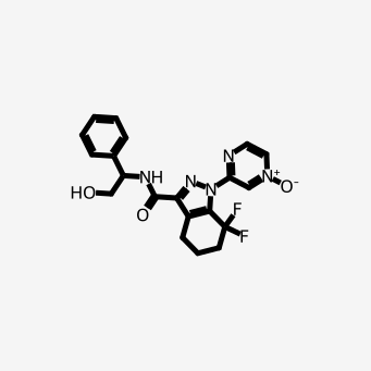 O=C(NC(CO)c1ccccc1)c1nn(-c2c[n+]([O-])ccn2)c2c1CCCC2(F)F